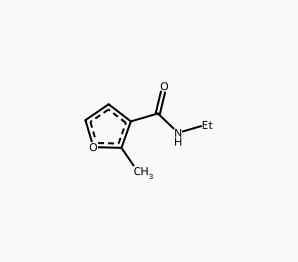 CCNC(=O)c1ccoc1C